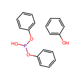 OP(Oc1ccccc1)Oc1ccccc1.Oc1ccccc1